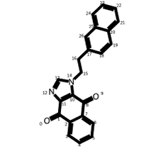 O=C1c2ccccc2C(=O)c2c1ncn2CCc1ccc2ccccc2c1